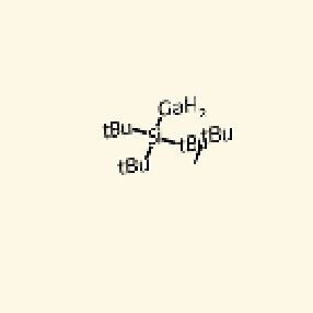 CC(C)(C)C.CC(C)(C)[Si]([GaH2])(C(C)(C)C)C(C)(C)C